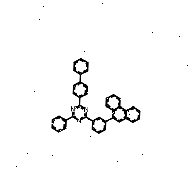 c1ccc(-c2ccc(-c3nc(-c4ccccc4)nc(-c4cccc(-c5cc6ccccc6c6ccccc56)c4)n3)cc2)cc1